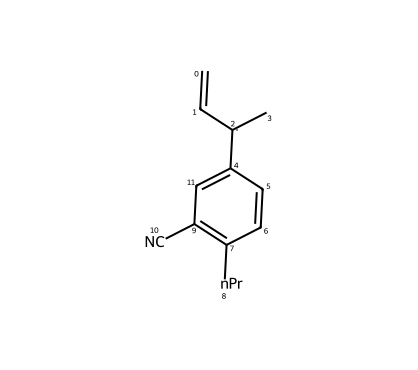 C=C[C](C)c1ccc(CCC)c(C#N)c1